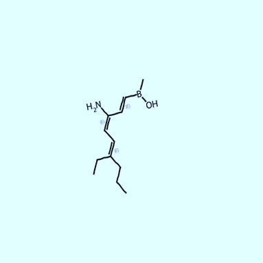 CCC/C(=C/C=C(N)\C=C\B(C)O)CC